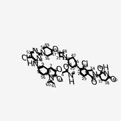 CNC(=O)COc1cc2cc(Nc3nc(N4CCC(OC5CN([C@H]6CC[C@H](c7ccc8c(c7Cl)CN(C7CCC(=O)NC7=O)C8=O)CC6)C5)CC4)ncc3Cl)ccc2n(C(C)C)c1=O